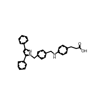 O=C(O)CCc1ccc(NCc2ccc(Cn3nc(-c4ccccc4)cc3-c3ccccc3)cc2)cc1